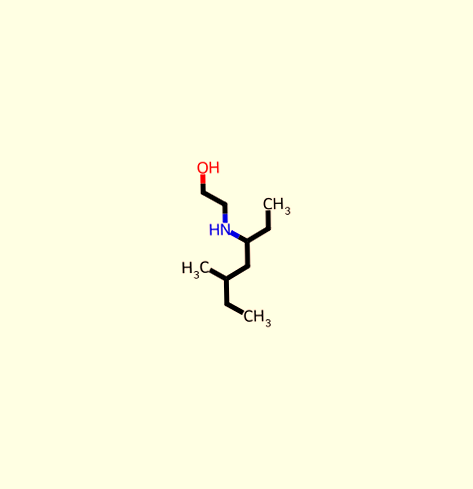 CCC(C)CC(CC)NCCO